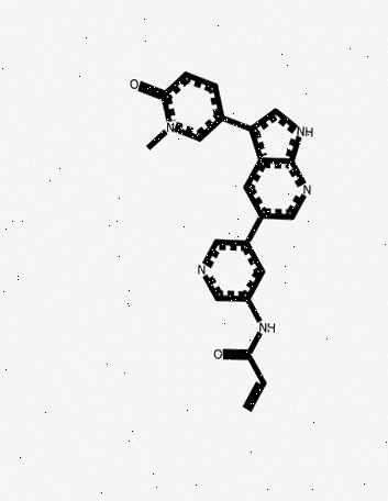 C=CC(=O)Nc1cncc(-c2cnc3[nH]cc(-c4ccc(=O)n(C)c4)c3c2)c1